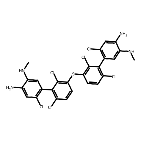 CNc1cc(-c2c(Cl)ccc(Sc3ccc(Cl)c(-c4cc(NC)c(N)cc4Cl)c3Cl)c2Cl)c(Cl)cc1N